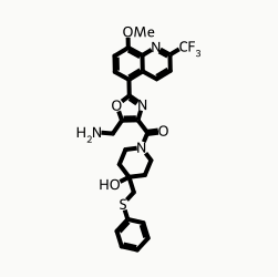 COc1ccc(-c2nc(C(=O)N3CCC(O)(CSc4ccccc4)CC3)c(CN)o2)c2ccc(C(F)(F)F)nc12